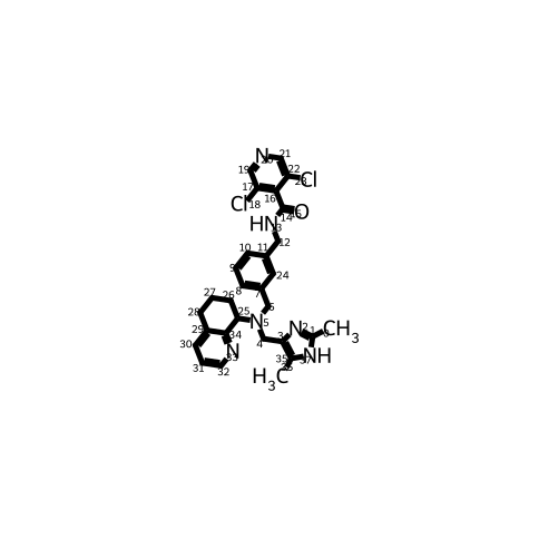 Cc1nc(CN(Cc2cccc(CNC(=O)c3c(Cl)cncc3Cl)c2)C2CCCc3cccnc32)c(C)[nH]1